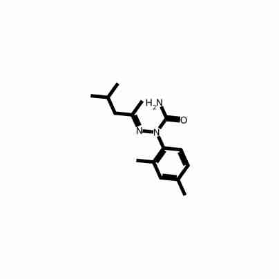 C/C(CC(C)C)=N\N(C(N)=O)c1ccc(C)cc1C